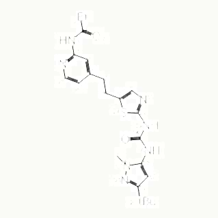 CCC(=O)Nc1cc(CCc2cnc(NC(=O)Nc3cc(C(C)(C)C)nn3C)s2)ccn1